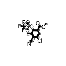 COC(=O)c1cc(Cl)c(C#N)c(C)c1OS(=O)(=O)C(F)(F)F